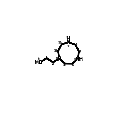 OCCN1CCNCCNCC1